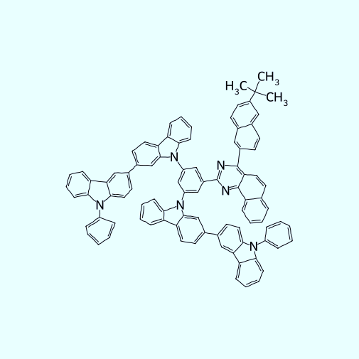 CC(C)(C)c1ccc2cc(-c3nc(-c4cc(-n5c6ccccc6c6ccc(-c7ccc8c(c7)c7ccccc7n8-c7ccccc7)cc65)cc(-n5c6ccccc6c6ccc(-c7ccc8c(c7)c7ccccc7n8-c7ccccc7)cc65)c4)nc4c3ccc3ccccc34)ccc2c1